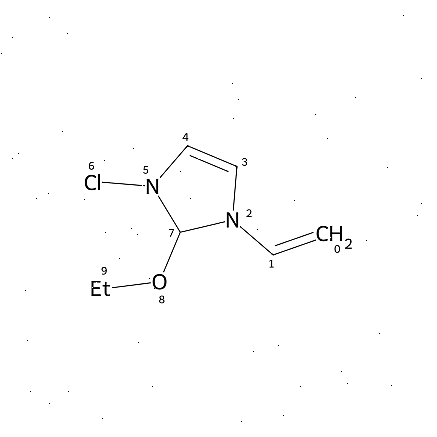 C=CN1C=CN(Cl)C1OCC